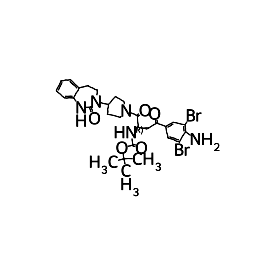 CC(C)(C)OC(=O)N[C@H](CC(=O)c1cc(Br)c(N)c(Br)c1)C(=O)N1CCC(N2CCc3ccccc3NC2=O)CC1